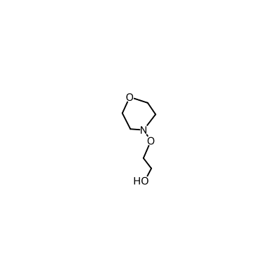 OCCON1CCOCC1